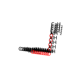 [CaH2].[CaH2].[CaH2].[CaH2].[CaH2].[CaH2].[CaH2].[CaH2].[CaH2].[CaH2].[CaH2].[CaH2].[O]=[AlH].[O]=[AlH].[O]=[AlH].[O]=[AlH].[O]=[AlH].[O]=[AlH].[O]=[AlH].[O]=[AlH].[O]=[AlH].[O]=[AlH].[O]=[AlH].[O]=[AlH].[O]=[AlH].[O]=[AlH]